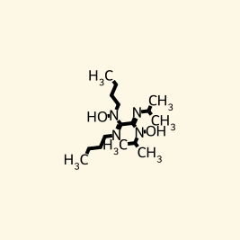 CCCCN=C(C(=NC(C)C)N(O)C(C)C)N(O)CCCC